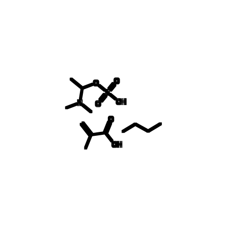 C=C(C)C(=O)O.CC(OS(=O)(=O)O)N(C)C.CCCC